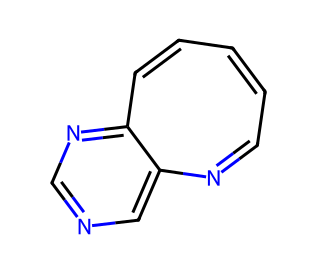 C1=CC=Nc2cncnc2C=C1